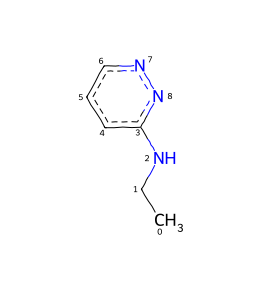 CCNc1cccnn1